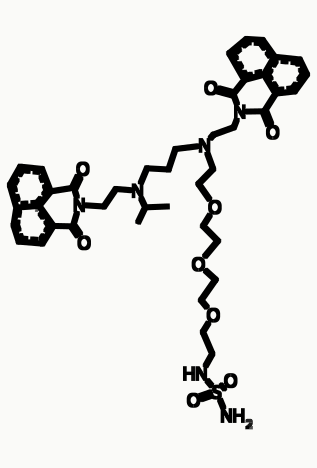 CC(C)N(CCCN(CCOCCOCCOCCNS(N)(=O)=O)CCN1C(=O)c2cccc3cccc(c23)C1=O)CCN1C(=O)c2cccc3cccc(c23)C1=O